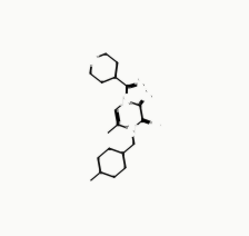 Cc1cn2c(C3CCOCC3)nnc2c(=O)n1CC1CCC(C)CC1